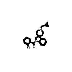 O=C(c1ccccc1Cl)N1CC2(CCN(CC3CC3)CC2)c2ccccc21